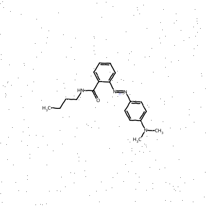 CCCCNC(=O)c1ccccc1/N=N/c1ccc(N(C)C)cc1